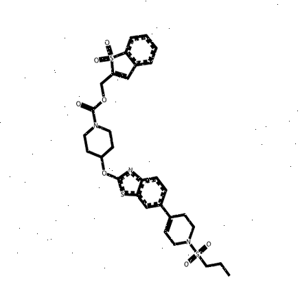 CCCS(=O)(=O)N1CC=C(c2ccc3nc(OC4CCN(C(=O)OCC5=Cc6ccccc6S5(=O)=O)CC4)sc3c2)CC1